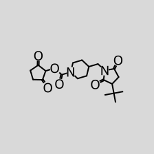 CC(C)(C)C1CC(=O)N(CC2CCN(C(=O)OC3C(=O)CCC3=O)CC2)C1=O